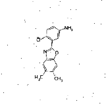 Cc1cc2nc(-c3cc(N)ccc3Cl)oc2cc1C